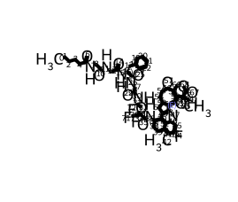 CCCCCC(=O)NCC(=O)NCC(=O)N[C@@H](Cc1ccccc1)C(=O)NCC(=O)NCO[C@H](C(=O)N[C@H]1CCc2c(C)c(F)cc3nc4c(c1c23)CC1CCC(=O)C2=C(/C=C/41)[C@@](O)(CC)C(=O)OC2)C(F)(F)F